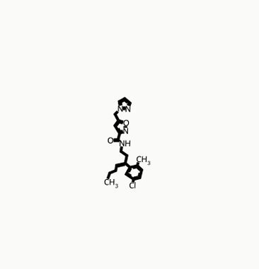 CCC/C=C(/CCNC(=O)c1cc(Cn2cccn2)on1)c1cc(Cl)ccc1C